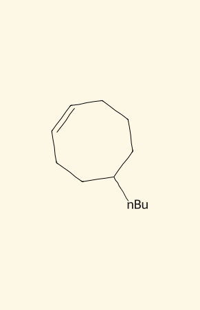 CC[CH]CC1CCC=CCCC1